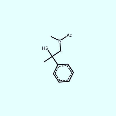 CC(=O)N(C)CC(C)(S)c1ccccc1